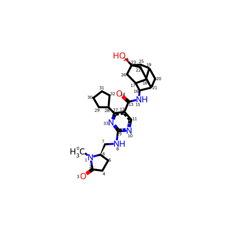 CN1C(=O)CC[C@@H]1CNc1ncc(C(=O)NC2C3CC4CC2CC(O)(C4)C3)c(C2CCCC2)n1